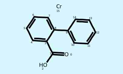 O=C(O)c1ccccc1-c1ccccc1.[Cr]